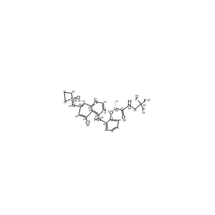 C[C@@H](Oc1ccccc1Nc1ncnc2cc(N=S3(=O)CCC3)cc(Cl)c12)C(=O)NCC(F)(F)F